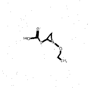 CCON1CC1OC(=O)O